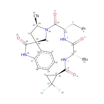 CC(C)C[C@H](NC(=O)[C@@H](NC(=O)[C@@H]1CC1(F)F)C(C)(C)C)C(=O)N1C[C@]2(C[C@H]1C#N)C(=O)Nc1ccccc12